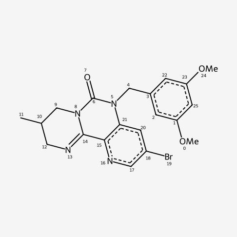 COc1cc(CN2C(=O)N3CC(C)CN=C3c3ncc(Br)cc32)cc(OC)c1